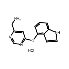 Cl.NCc1cc(Oc2cccc3[nH]ccc23)ncn1